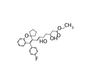 CCOC(=O)C[C@@H](O)C[C@H](O)/C=C/C1=C(c2ccc(F)cc2)c2ccccc2OC12CCCC2